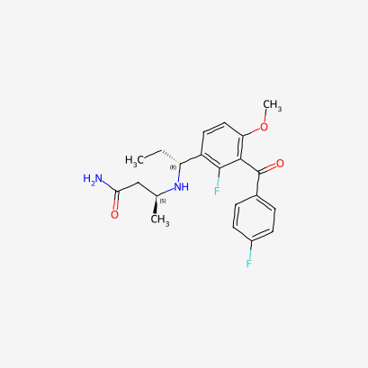 CC[C@@H](N[C@@H](C)CC(N)=O)c1ccc(OC)c(C(=O)c2ccc(F)cc2)c1F